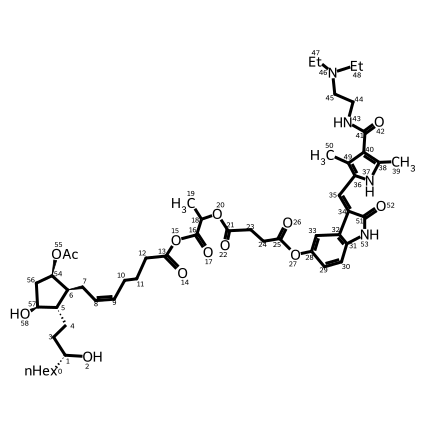 CCCCCC[C@@H](O)CC[C@H]1[C@H](C/C=C\CCCC(=O)OC(=O)C(C)OC(=O)CCC(=O)Oc2ccc3c(c2)/C(=C/c2[nH]c(C)c(C(=O)NCCN(CC)CC)c2C)C(=O)N3)[C@H](OC(C)=O)C[C@@H]1O